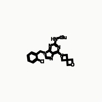 CC(C)(C)Nc1nc(N2CC3(COC3)C2)c2ncn(Cc3ccccc3Cl)c2n1